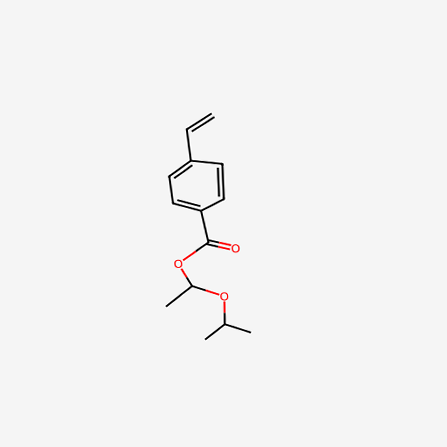 C=Cc1ccc(C(=O)OC(C)OC(C)C)cc1